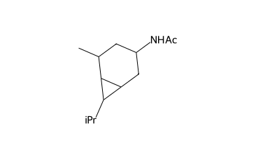 CC(=O)NC1CC(C)C2C(C1)C2C(C)C